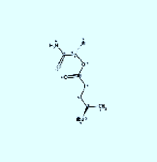 CC[C@H](C)C(C)CCC(=O)O[C@H](C(N)=O)C(C)C